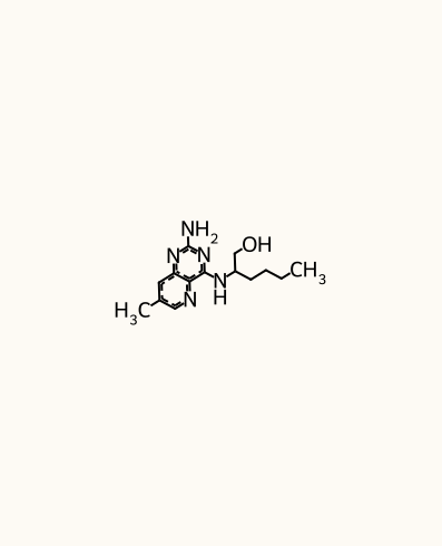 CCCCC(CO)Nc1nc(N)nc2cc(C)cnc12